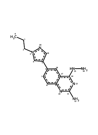 CCCn1cc(-c2ccc3nc(N)nc(NN)c3c2)cn1